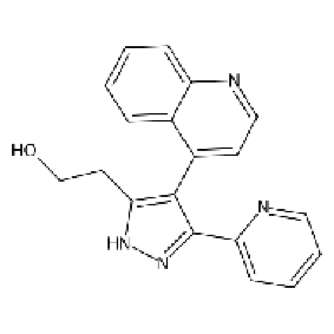 OCCc1[nH]nc(-c2ccccn2)c1-c1ccnc2ccccc12